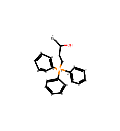 CCC(O)CC[PH](c1ccccc1)(c1ccccc1)c1ccccc1